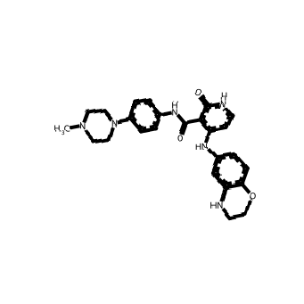 CN1CCN(c2ccc(NC(=O)c3c(Nc4ccc5c(c4)NCCO5)cc[nH]c3=O)cc2)CC1